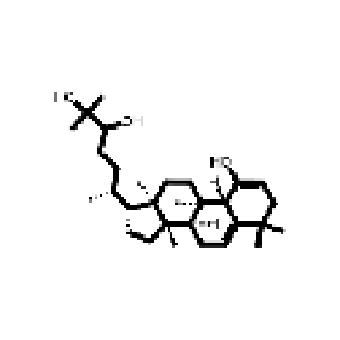 C[C@H](CCC(O)C(C)(C)O)[C@H]1CC[C@@]2(C)[C@@H]3CC=C4[C@@H](C(O)=CCC4(C)C)[C@]3(C)CC[C@]12C